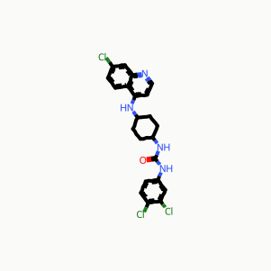 O=C(Nc1ccc(Cl)c(Cl)c1)NC1CCC(Nc2ccnc3cc(Cl)ccc23)CC1